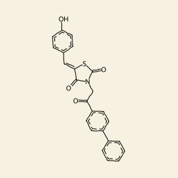 O=C(CN1C(=O)S/C(=C\c2ccc(O)cc2)C1=O)c1ccc(-c2ccccc2)cc1